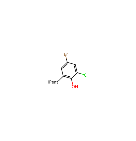 CCCC(C)c1cc(Br)cc(Cl)c1O